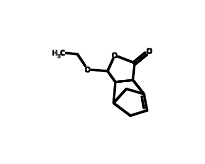 CCOC1OC(=O)C2C3=CCC(C3)C12